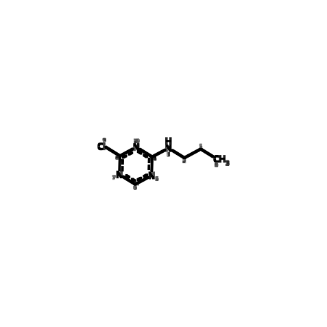 CCCNc1n[c]nc(Cl)n1